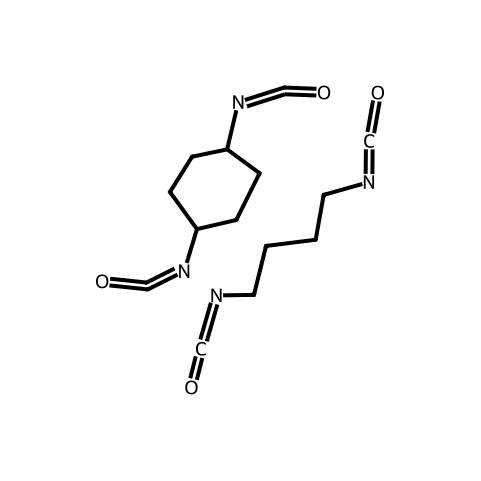 O=C=NC1CCC(N=C=O)CC1.O=C=NCCCCN=C=O